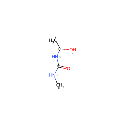 CNC(=O)NC(C)O